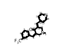 CN1CC(=Cc2cccc(C(F)(F)F)c2)C(=O)/C(=C/c2ccncc2)C1